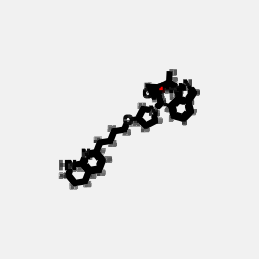 COC(=O)[C@H](c1cccc2cnn(C(C)C3CC3)c12)N1CC[C@@H](OCCCCc2ccc3c(n2)NCCC3)C1